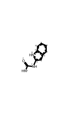 [NH]C(=O)Nc1cc2ccccc2[nH]1